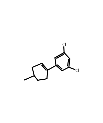 CC1CC=C(c2cc(Cl)cc(Cl)c2)CC1